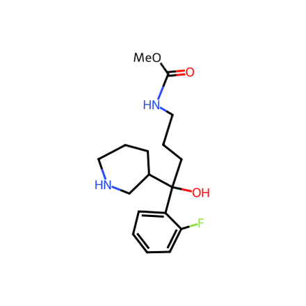 COC(=O)NCCCC(O)(c1ccccc1F)C1CCCNC1